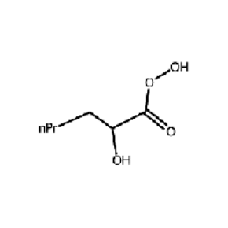 CCCCC(O)C(=O)OO